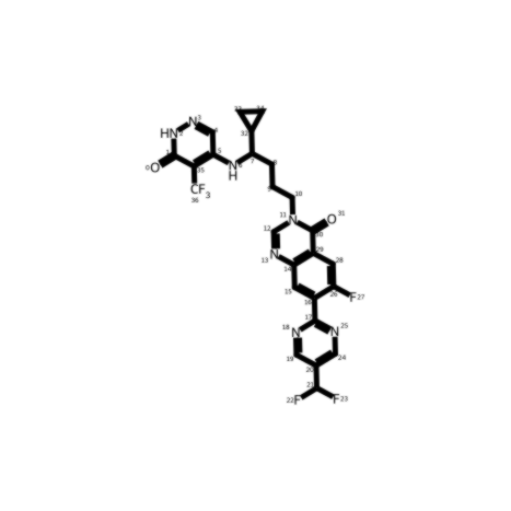 O=c1[nH]ncc(NC(CCCn2cnc3cc(-c4ncc(C(F)F)cn4)c(F)cc3c2=O)C2CC2)c1C(F)(F)F